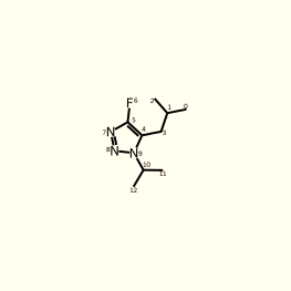 CC(C)Cc1c(F)nnn1C(C)C